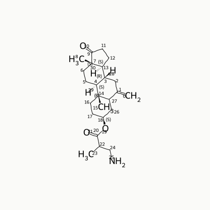 C=C1C[C@@H]2[C@H](CC[C@]3(C)C(=O)CC[C@@H]23)[C@@]2(C)CC[C@H](OC(=O)C(C)CN)CC12